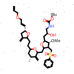 C=CCOC/C=C/[C@H]1CC(=C)C(CCC2C[C@@H](C)C(=C)C(CC3OC(C[C@H](O)CNC(=O)OC(C)(C)C)[C@H](OC)C3CS(=O)(=O)c3ccccc3)O2)O1